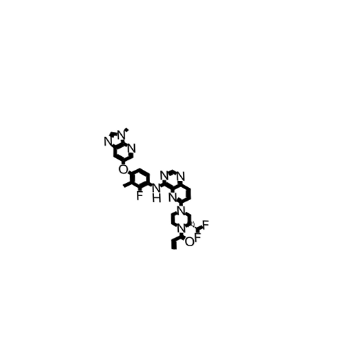 C=CC(=O)N1CCN(c2ccc3ncnc(Nc4ccc(Oc5cnc6c(c5)ncn6C)c(C)c4F)c3n2)C[C@@H]1C(F)F